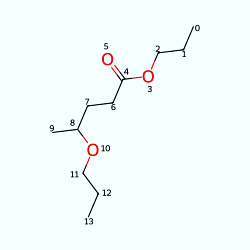 CCCOC(=O)CCC(C)OCCC